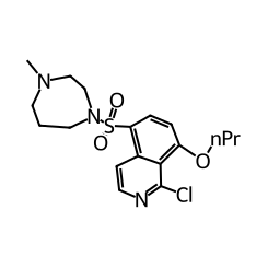 CCCOc1ccc(S(=O)(=O)N2CCCN(C)CC2)c2ccnc(Cl)c12